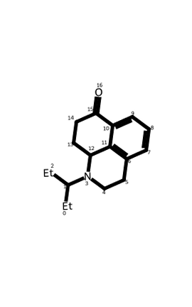 CCC(CC)N1CCc2cccc3c2C1CCC3=O